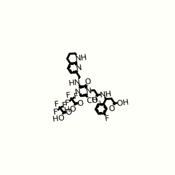 Cc1cnc(NCc2ccc3c(n2)NCCC3)c(=O)n1CC(=O)NC(CC(=O)O)c1cccc(F)c1.O=C(O)C(F)(F)F.O=C(O)C(F)(F)F